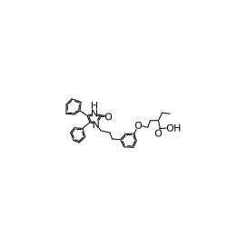 CCC(CCOc1cccc(CCCn2c(-c3ccccc3)c(-c3ccccc3)[nH]c2=O)c1)C(=O)O